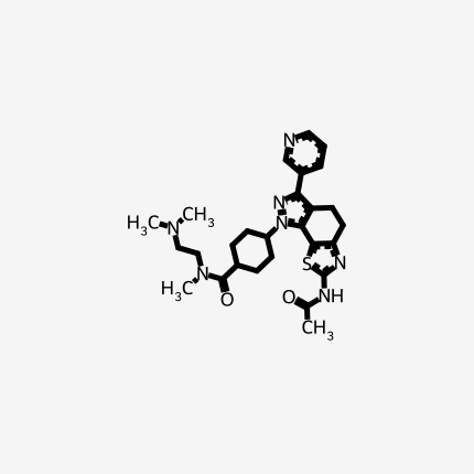 CC(=O)Nc1nc2c(s1)-c1c(c(-c3cccnc3)nn1C1CCC(C(=O)N(C)CCN(C)C)CC1)CC2